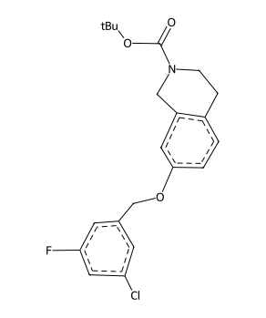 CC(C)(C)OC(=O)N1CCc2ccc(OCc3cc(F)cc(Cl)c3)cc2C1